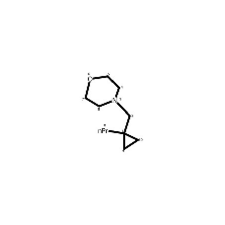 CCCC1(CN2CCOCC2)CC1